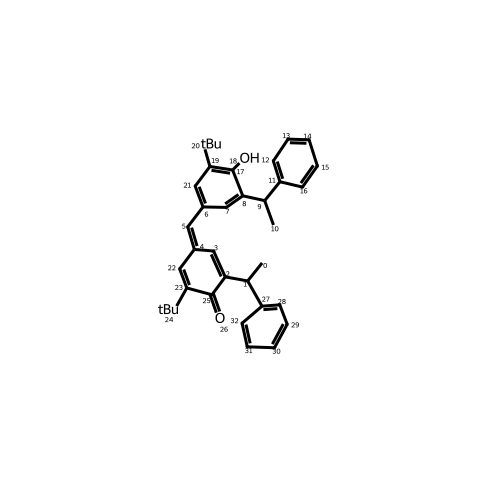 CC(C1=CC(=Cc2cc(C(C)c3ccccc3)c(O)c(C(C)(C)C)c2)C=C(C(C)(C)C)C1=O)c1ccccc1